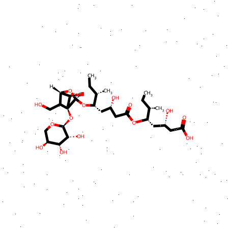 CC[C@H](C)[C@H](C[C@H](O)CC(=O)O)OC(=O)C[C@@H](O)C[C@H](O[C@@H]1O[C@H]2C(CO)[C@]1(O[C@@H]1OC[C@H](O)[C@@H](O)[C@H]1O)[C@H]2O)[C@@H](C)CC